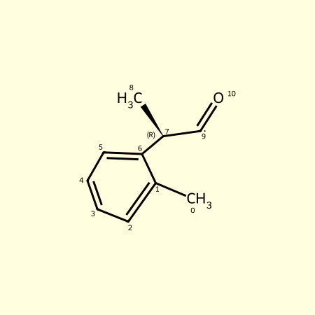 Cc1ccccc1[C@@H](C)[C]=O